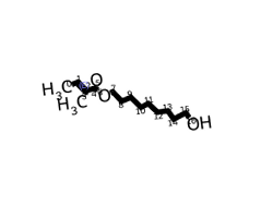 C/C=C(\C)C(=O)OCCCCCCCCCO